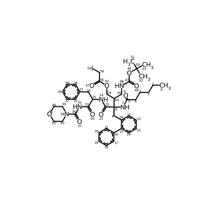 CCCCCC(=O)NC(Cc1ccccc1-c1ccccc1)(C(=O)NC(Cc1ccccc1)C(=O)NC(=O)N1CCOCC1)C(CNC(=O)OC(C)(C)C)COC(=O)CI